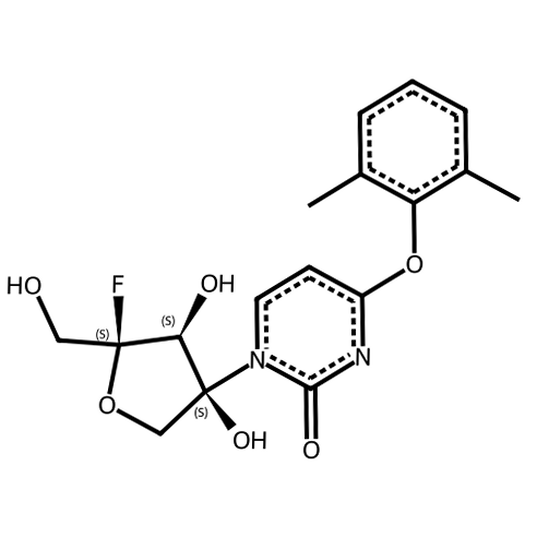 Cc1cccc(C)c1Oc1ccn([C@]2(O)CO[C@](F)(CO)[C@H]2O)c(=O)n1